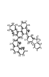 CC1(C)c2ccccc2-c2ccc(-c3nc4ccccc4c4c3cc(-c3ccc5ccc6cccnc6c5n3)c3sc5ccccc5c34)cc21